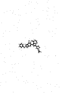 Nc1ncnn2c(C3CCN(C4CC4)C3)cc(-c3ccc4cn(Cc5ccccc5)nc4c3)c12